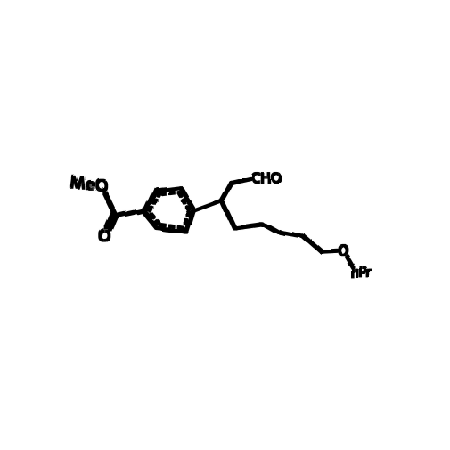 CCCOCCCCCC(CC=O)c1ccc(C(=O)OC)cc1